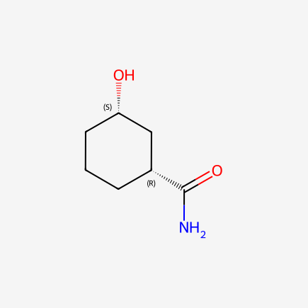 NC(=O)[C@@H]1CCC[C@H](O)C1